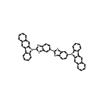 c1ccc2cc3c(cc2c1)c1ccccc1n3-c1ccc2nc(-c3ccc4nc(-n5c6ccccc6c6cc7ccccc7cc65)sc4c3)sc2c1